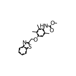 COC(=O)Nc1c(C)cc(OCc2nc3ccccc3s2)c(C)c1C